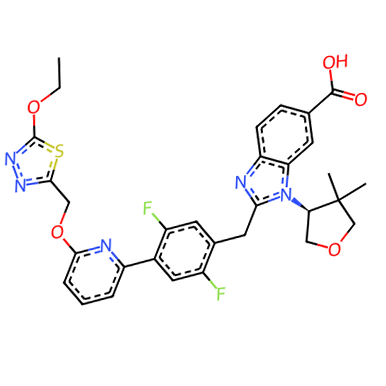 CCOc1nnc(COc2cccc(-c3cc(F)c(Cc4nc5ccc(C(=O)O)cc5n4[C@@H]4COCC4(C)C)cc3F)n2)s1